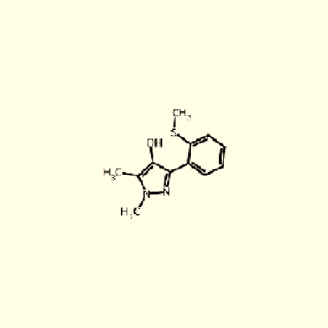 CSc1ccccc1-c1nn(C)c(C)c1O